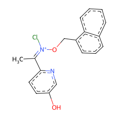 CC(c1ccc(O)cn1)=[N+](Cl)OCc1cccc2ccccc12